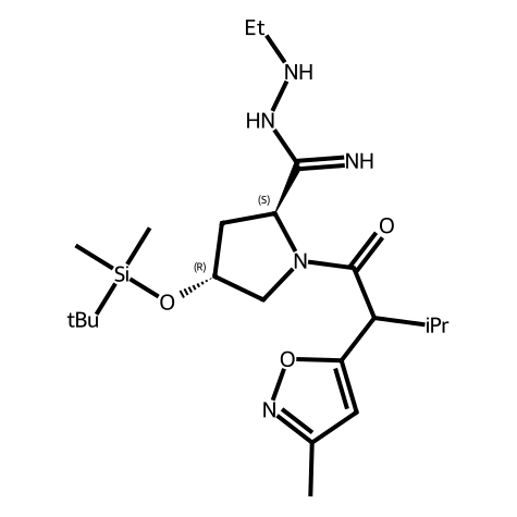 CCNNC(=N)[C@@H]1C[C@@H](O[Si](C)(C)C(C)(C)C)CN1C(=O)C(c1cc(C)no1)C(C)C